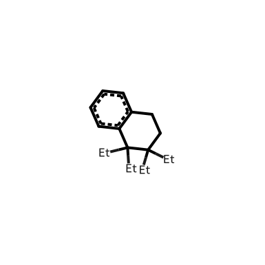 CCC1(CC)CCc2ccccc2C1(CC)CC